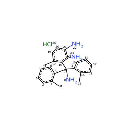 Cc1ccccc1C(N)(c1ccccc1C)c1c(C)ccc(N)c1N.Cl